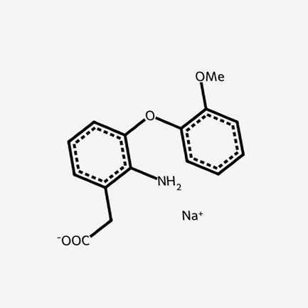 COc1ccccc1Oc1cccc(CC(=O)[O-])c1N.[Na+]